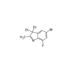 CCC1(CC)C(C)=Nc2c(F)cc(Br)cc21